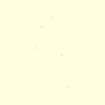 CNCCNc1ccc(-c2cc(NCC(C)C)ncn2)cn1